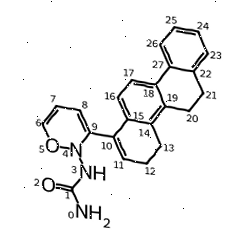 NC(=O)NN1OC=CC=C1C1=CCCc2c1ccc1c2CCc2ccccc2-1